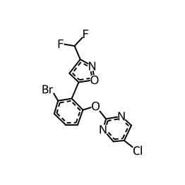 FC(F)c1cc(-c2c(Br)cccc2Oc2ncc(Cl)cn2)on1